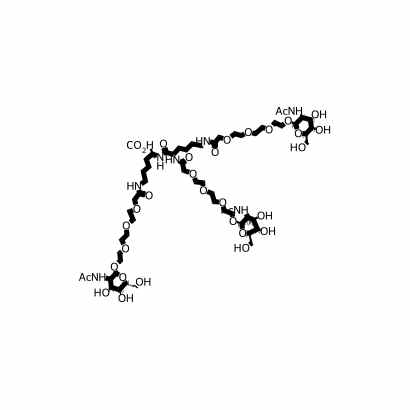 CC(=O)NC1C(OCCOCCOCCOCC(=O)NCCCC[C@H](NC(=O)C(CCCCNC(=O)COCCOCCOCCO[C@@H]2O[C@H](CO)[C@H](O)[C@H](O)[C@H]2NC(C)=O)NC(=O)COCCOCCOCCO[C@@H]2O[C@H](CO)[C@H](O)[C@H](O)C2NC(C)=O)C(=O)O)O[C@H](CO)[C@H](O)[C@@H]1O